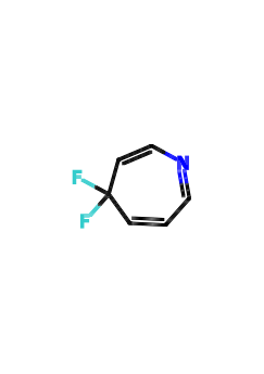 FC1(F)C=CC=NC=C1